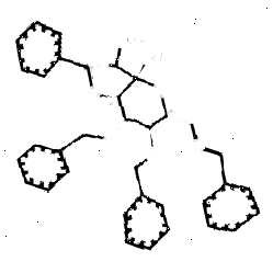 CSC(SC)[C@]1(O)O[C@H](COCc2ccccc2)[C@@H](OCc2ccccc2)[C@H](OCc2ccccc2)[C@H]1OCc1ccccc1